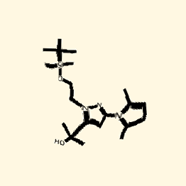 Cc1ccc(C)n1-c1cc(C(C)(C)O)n(CCO[Si](C)(C)C(C)(C)C)n1